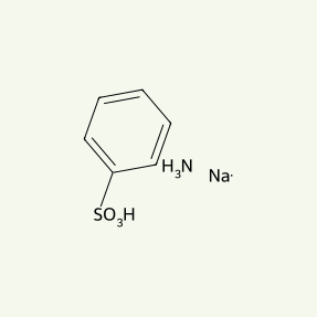 N.O=S(=O)(O)c1ccccc1.[Na]